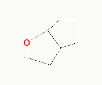 [CH]1CC2CCCC2O1